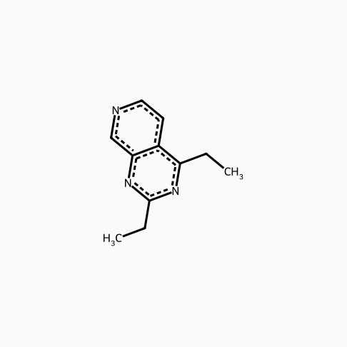 CCc1nc(CC)c2ccncc2n1